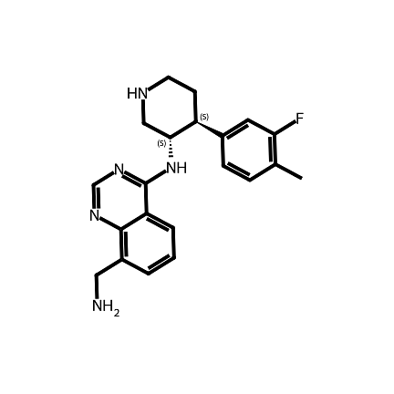 Cc1ccc([C@@H]2CCNC[C@H]2Nc2ncnc3c(CN)cccc23)cc1F